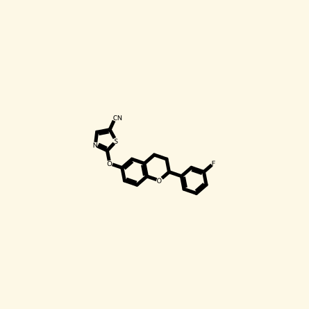 N#Cc1cnc(Oc2ccc3c(c2)CCC(c2cccc(F)c2)O3)s1